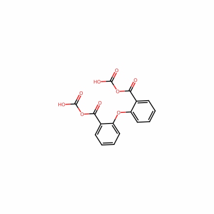 O=C(O)OC(=O)c1ccccc1Oc1ccccc1C(=O)OC(=O)O